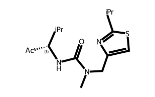 CC(=O)[C@@H](NC(=O)N(C)Cc1csc(C(C)C)n1)C(C)C